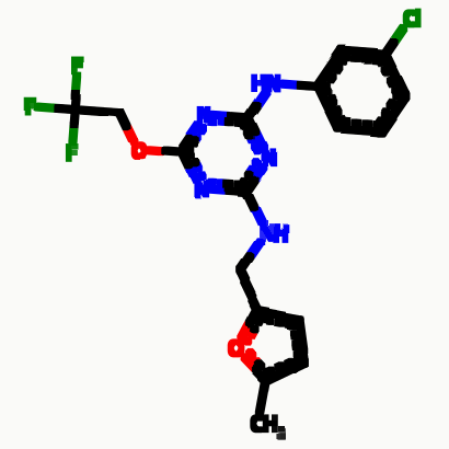 Cc1ccc(CNc2nc(Nc3cccc(Cl)c3)nc(OCC(F)(F)F)n2)o1